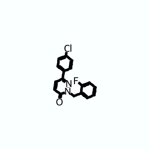 O=c1ccc(-c2ccc(Cl)cc2)nn1Cc1ccccc1F